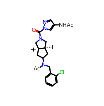 CC(=O)Nc1cnn(C(=O)N2C[C@H]3CC(N(Cc4ccccc4Cl)C(C)=O)C[C@H]3C2)c1